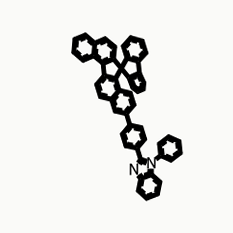 c1ccc(-n2c(-c3ccc(-c4ccc5c6c(ccc5c4)-c4c(ccc5ccccc45)C64c5ccccc5-c5ccccc54)cc3)nc3ccccc32)cc1